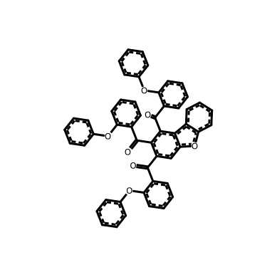 O=C(c1ccccc1Oc1ccccc1)c1cc2oc3ccccc3c2c(C(=O)c2ccccc2Oc2ccccc2)c1C(=O)c1ccccc1Oc1ccccc1